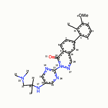 COc1cccc(-c2ccc3c(=O)n(-c4ncc(NC(C)(C)CN(C)C)cn4)ncc3c2)c1C